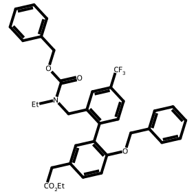 CCOC(=O)Cc1ccc(OCc2ccccc2)c(-c2ccc(C(F)(F)F)cc2CN(CC)C(=O)OCc2ccccc2)c1